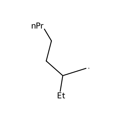 [CH2]CCCCC([CH2])CC